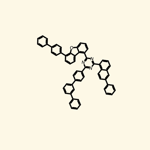 c1ccc(-c2ccc(-c3cccc4c3oc3cccc(-c5nc(-c6ccc(-c7cccc(-c8ccccc8)c7)cc6)nc(-c6cccc7cc(-c8ccccc8)ccc67)n5)c34)cc2)cc1